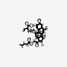 CCC(N)C(=O)O.CCCCC(=O)OCC(=O)[C@H]1[C@H](C)C[C@H]2[C@@H]3C[C@H](F)C4=CC(=O)C=C[C@]4(C)[C@@]3(F)[C@@H](O)C[C@@]21C